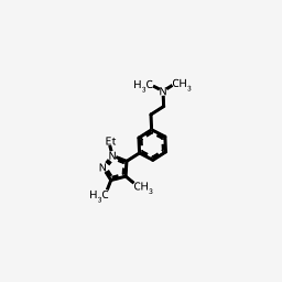 CCn1nc(C)c(C)c1-c1cccc(CCN(C)C)c1